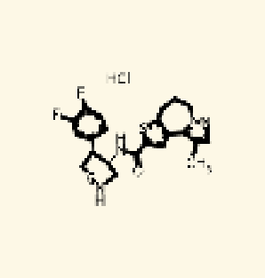 Cc1cnn2c1-c1cc(C(=O)N[C@@H]3CNCC[C@H]3c3ccc(F)c(F)c3)sc1CCC2.Cl